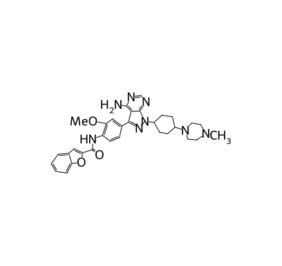 COc1cc(-c2nn(C3CCC(N4CCN(C)CC4)CC3)c3ncnc(N)c23)ccc1NC(=O)c1cc2ccccc2o1